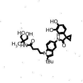 CC(CO)(CO)NC(=O)CCCn1c(C(C)(C)C)cc2cc(NC(=O)C3(c4ccc(O)c(O)c4)CC3)ccc21